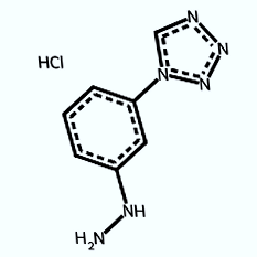 Cl.NNc1cccc(-n2cnnn2)c1